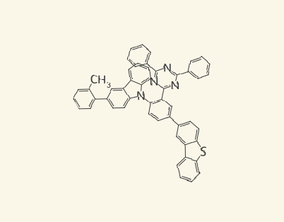 Cc1ccccc1-c1ccc2c(c1)c1ccccc1n2-c1ccc(-c2ccc3sc4ccccc4c3c2)cc1-c1nc(-c2ccccc2)nc(-c2ccccc2)n1